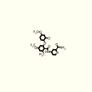 Cc1cc(OC(F)(F)F)cc(Oc2ccc(OC(F)(F)F)cc2Cl)c1C(=O)Nc1ccnc(C(N)=O)c1